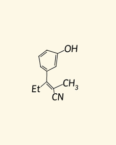 CCC(=C(C)C#N)c1cccc(O)c1